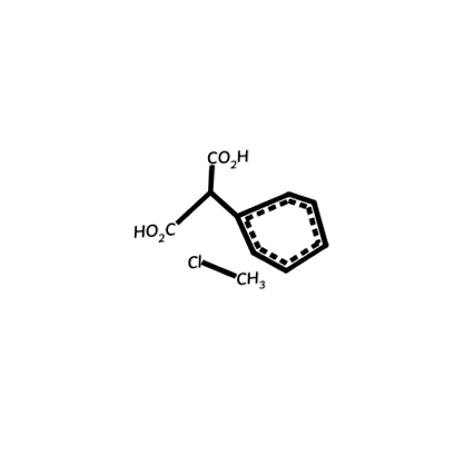 CCl.O=C(O)C(C(=O)O)c1ccccc1